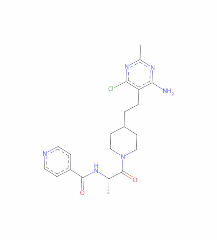 Cc1nc(N)c(CCC2CCN(C(=O)[C@H](C)NC(=O)c3ccncc3)CC2)c(Cl)n1